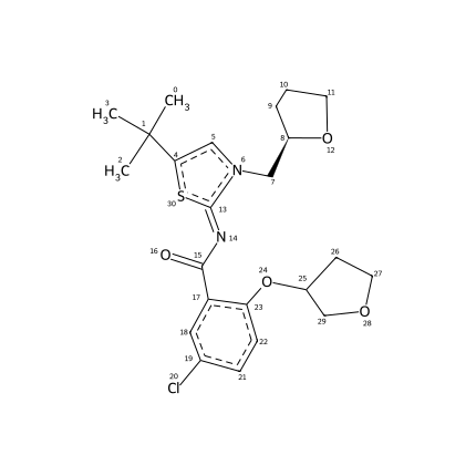 CC(C)(C)c1cn(C[C@H]2CCCO2)/c(=N/C(=O)c2cc(Cl)ccc2OC2CCOC2)s1